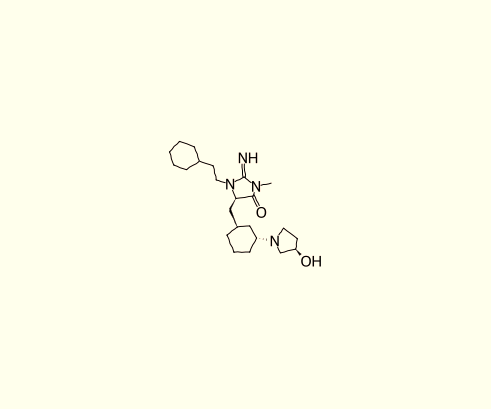 CN1C(=N)N(CCC2CCCCC2)[C@H](C[C@@H]2CCC[C@@H](N3CC[C@@H](O)C3)C2)C1=O